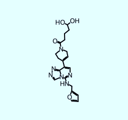 O=C(CCCC(O)O)N1CC=C(c2cnc(NCc3ccco3)n3cnnc23)CC1